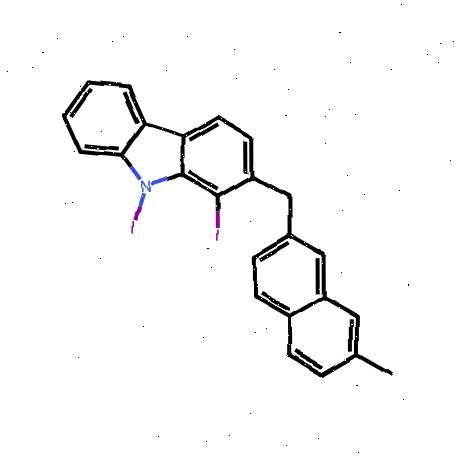 Cc1ccc2ccc(Cc3ccc4c5ccccc5n(I)c4c3I)cc2c1